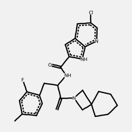 C=C(C(Cc1ccc(C)cc1F)NC(=O)c1cc2cc(Cl)cnc2[nH]1)N1CC2(CCCCC2)C1